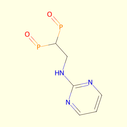 O=PC(CNc1ncccn1)P=O